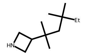 CCC(C)(C)CC(C)(C)C1CNC1